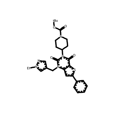 CCn1cc(Cn2c(=O)n(C3CCN(C(=O)OC(C)(C)C)CC3)c(=O)c3sc(-c4ccccc4)cc32)cn1